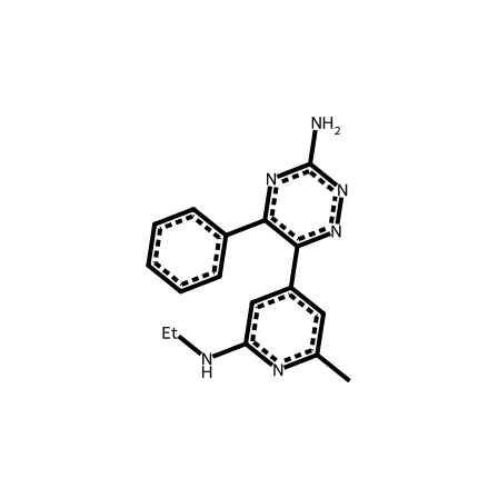 CCNc1cc(-c2nnc(N)nc2-c2ccccc2)cc(C)n1